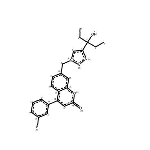 CCC(O)(CC)c1cn(Cc2ccc3c(-c4cccc(F)c4)cc(=O)oc3c2)nn1